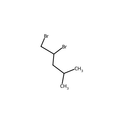 CC(C)CC(Br)CBr